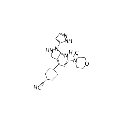 C#CC1CCC(c2cc(N3CCOC[C@H]3C)nc3c2CNN3c2ccn[nH]2)CC1